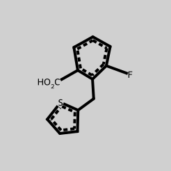 O=C(O)c1cccc(F)c1Cc1cccs1